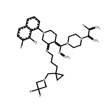 C=N/C(=C1/CCN(c2cccc3ccc(F)c(Cl)c23)C/C1=N/CCCC1(CN2CC(F)(F)C2)CC1)N1CCN(C(=C)C(=C)F)CC1